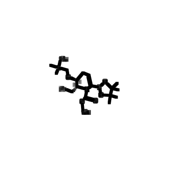 CC(C)C[C@@H]1[C@@H](OCS(C)(C)C(C)(C)C)CC=C(B2OC(C)(C)C(C)(C)O2)N1C(=O)OC(C)(C)C